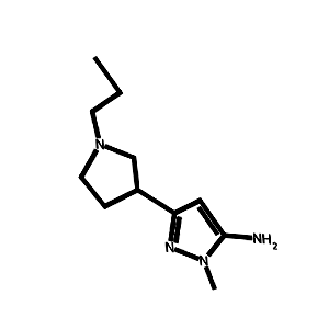 CCCN1CCC(c2cc(N)n(C)n2)C1